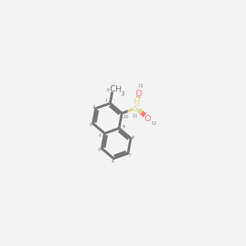 Cc1ccc2ccccc2c1[SH](=O)=O